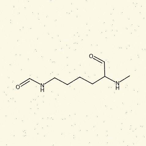 CNC(C=O)CCCCNC=O